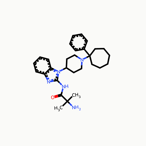 CC(C)(N)C(=O)Nc1nc2ccccc2n1C1CCN(C2(c3ccccc3)CCCCCC2)CC1